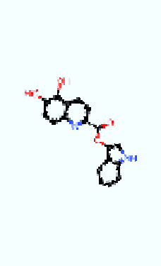 O=C(Oc1c[nH]c2ccccc12)c1ccc2c(O)c(O)ccc2n1